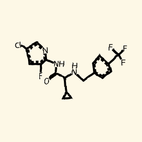 O=C(Nc1ncc(Cl)cc1F)C(NCc1ccc(C(F)(F)F)cc1)C1CC1